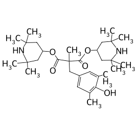 Cc1cc(CC(C)(C(=O)OC2CC(C)(C)NC(C)(C)C2)C(=O)OC2CC(C)(C)NC(C)(C)C2)cc(C)c1O